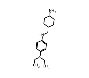 CCN(CC)c1ccc(NC[C@H]2CC[C@H](N)CC2)cc1